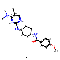 CCOc1ccc(C(=O)N[C@H]2CC[C@@H](Nc3ncc(C)c(N(C)C)n3)CC2)cc1